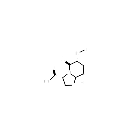 CC(C)N[C@@H]1CC[C@H]2SC[C@H](C(=O)C(C)C)N2C1=O